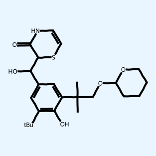 CC(C)(C)c1cc(C(O)C2SC=CNC2=O)cc(C(C)(C)COC2CCCCO2)c1O